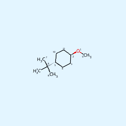 CO[C@H]1CC[C@H](C(C)(C)C)CC1